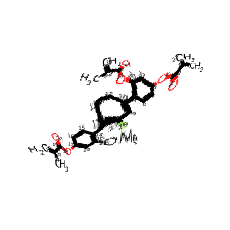 C=C(C)C(=O)Oc1ccc(-c2ccc(-c3ccc(OC(=O)C(=C)C)cc3OC)c(F)c2)c(OC(=O)C(=C)C)c1